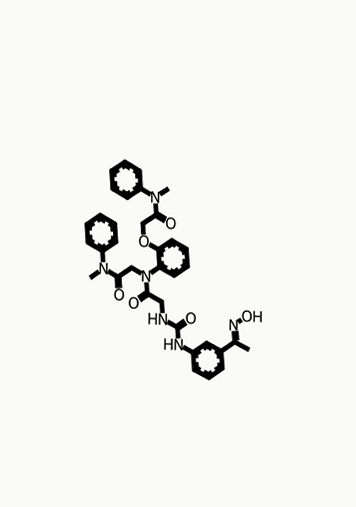 CC(=NO)c1cccc(NC(=O)NCC(=O)N(CC(=O)N(C)c2ccccc2)c2ccccc2OCC(=O)N(C)c2ccccc2)c1